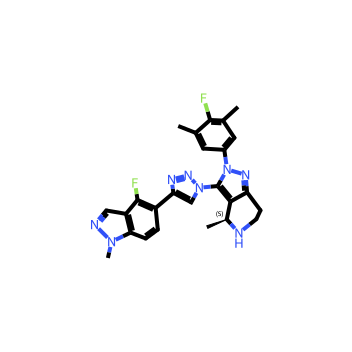 Cc1cc(-n2nc3c(c2-n2cc(-c4ccc5c(cnn5C)c4F)nn2)[C@H](C)NCC3)cc(C)c1F